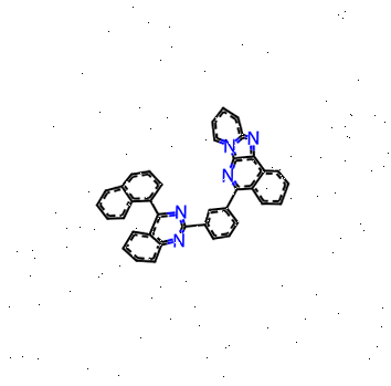 c1cc(-c2nc(-c3cccc4ccccc34)c3ccccc3n2)cc(-c2nc3c(nc4ccccn43)c3ccccc23)c1